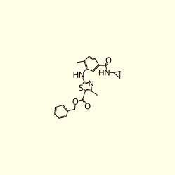 Cc1ccc(C(=O)NC2CC2)cc1Nc1nc(C)c(C(=O)OCc2ccccc2)s1